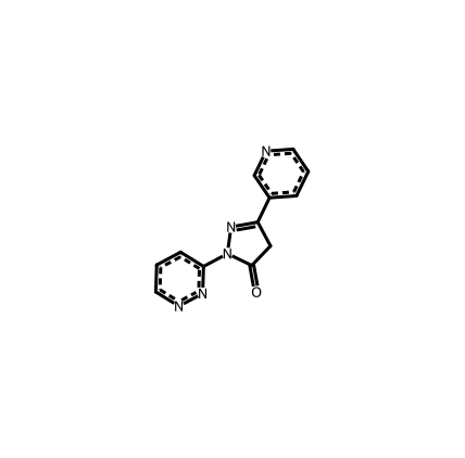 O=C1CC(c2cccnc2)=NN1c1cccnn1